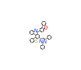 c1ccc(-c2cc(-c3cc4c(-c5ccc6oc7ccccc7c6c5)nc5ccccc5c4c4c3sc3ccccc34)nc(-c3ccccc3)n2)cc1